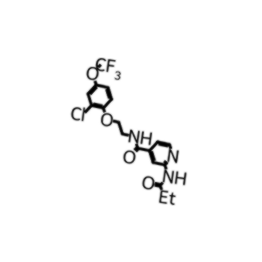 CCC(=O)Nc1cc(C(=O)NCCOc2ccc(OC(F)(F)F)cc2Cl)ccn1